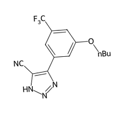 CCCCOc1cc(-c2nn[nH]c2C#N)cc(C(F)(F)F)c1